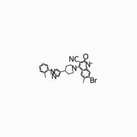 Cc1cc2c(N3CCC(c4cnn(-c5ccccc5C)c4)CC3)c(C#N)c(=O)n(C)c2cc1Br